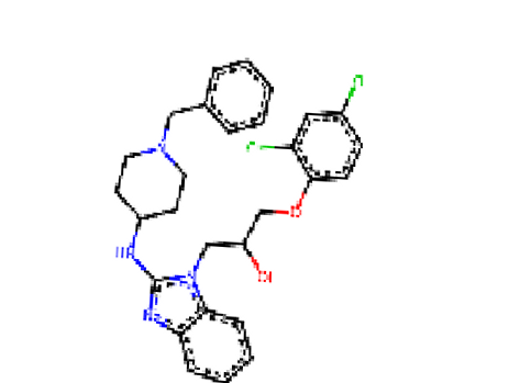 OC(COc1ccc(Cl)cc1Cl)Cn1c(NC2CCN(Cc3ccccc3)CC2)nc2ccccc21